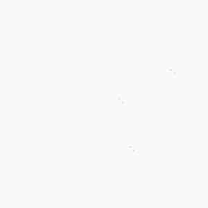 CC(=NOCC=Cc1ccccc1)C(=O)Cl.CCOC(=O)CCNC(=O)C(C)=NOCC=Cc1ccccc1